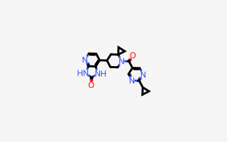 O=C(c1cnc(C2CC2)nc1)N1CCC(c2ccnc3[nH]c(=O)[nH]c23)CC12CC2